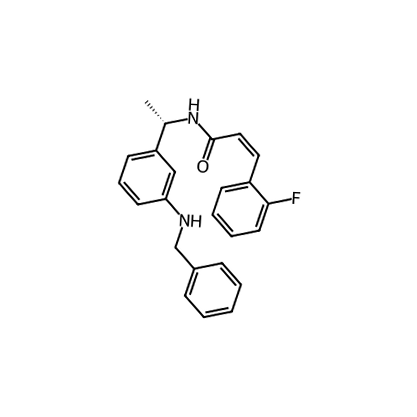 C[C@H](NC(=O)/C=C\c1ccccc1F)c1cccc(NCc2ccccc2)c1